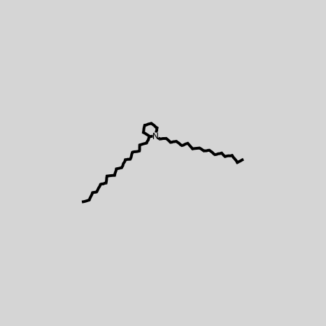 CCCCCCCCCCCCCCCCC1CCCCN1CCCCCCCCCCCCCCCC